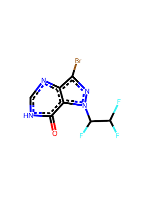 O=c1[nH]cnc2c(Br)nn(C(F)C(F)F)c12